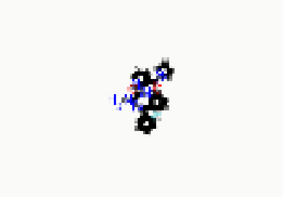 C[N+]1(c2ncccc2C(=O)N2CCCC2)C(=O)C(N)N=C(c2ccccc2F)c2ccccc21